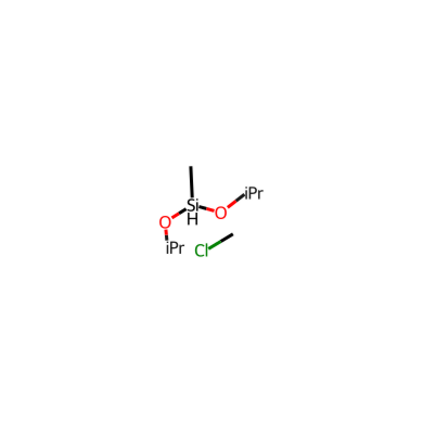 CC(C)O[SiH](C)OC(C)C.CCl